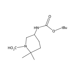 CC(C)(C)OC(=O)NC1CCC(C)(C)N(C(=O)O)C1